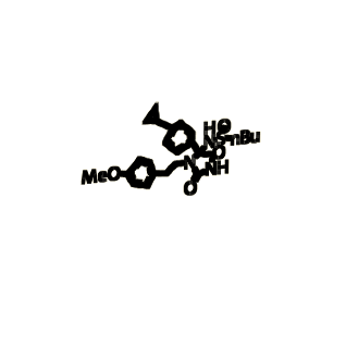 CCCCS(=O)(=O)NC1(c2ccc(C3CC3)cc2)CNC(=O)N1CCc1ccc(OC)cc1